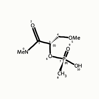 CNC(=O)[C@H](COC)O[P@](C)(=O)O